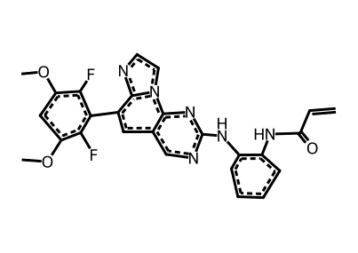 C=CC(=O)Nc1ccccc1Nc1ncc2cc(-c3c(F)c(OC)cc(OC)c3F)c3nccn3c2n1